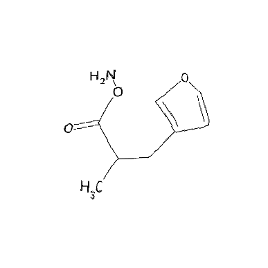 CC(Cc1ccoc1)C(=O)ON